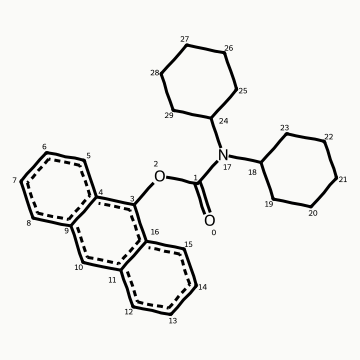 O=C(Oc1c2ccccc2cc2ccccc12)N(C1CCCCC1)C1CCCCC1